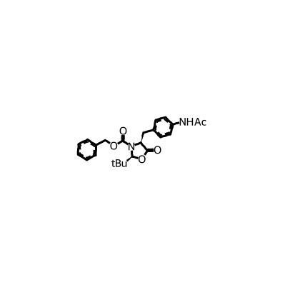 CC(=O)Nc1ccc(C[C@H]2C(=O)O[C@@H](C(C)(C)C)N2C(=O)OCc2ccccc2)cc1